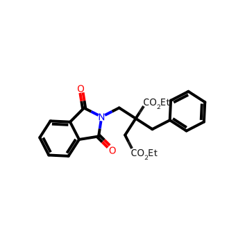 CCOC(=O)CC(Cc1ccccc1)(CN1C(=O)c2ccccc2C1=O)C(=O)OCC